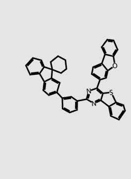 c1cc(-c2ccc3c(c2)C2(CCCCC2)c2ccccc2-3)cc(-c2nc(-c3ccc4c(c3)oc3ccccc34)c3sc4ccccc4c3n2)c1